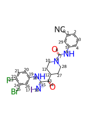 N#Cc1cccc(NC(=O)N2CCC(C(=O)/C(=N/I)Nc3ccc(F)c(Br)c3)CC2)c1